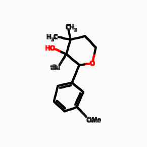 COc1cccc(C2OCCC(C)(C)C2(O)C(C)(C)C)c1